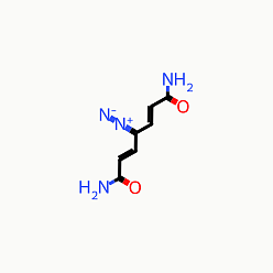 [N-]=[N+]=C(C=CC(N)=O)C=CC(N)=O